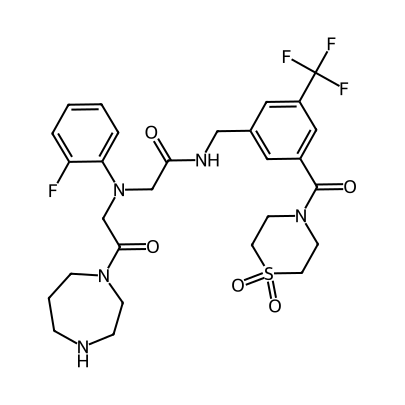 O=C(CN(CC(=O)N1CCCNCC1)c1ccccc1F)NCc1cc(C(=O)N2CCS(=O)(=O)CC2)cc(C(F)(F)F)c1